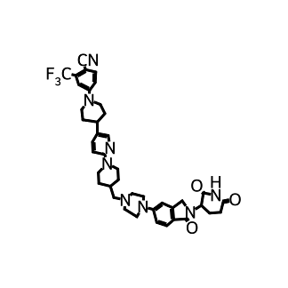 N#Cc1ccc(N2CCC(c3ccc(N4CCC(CN5CCN(c6ccc7c(c6)CN(C6CCC(=O)NC6=O)C7=O)CC5)CC4)nc3)CC2)cc1C(F)(F)F